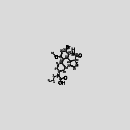 CCCN(C(=O)O)c1ccc(-c2c(OC)cc(Br)c3[nH]c(=O)c4sccc4c23)cc1